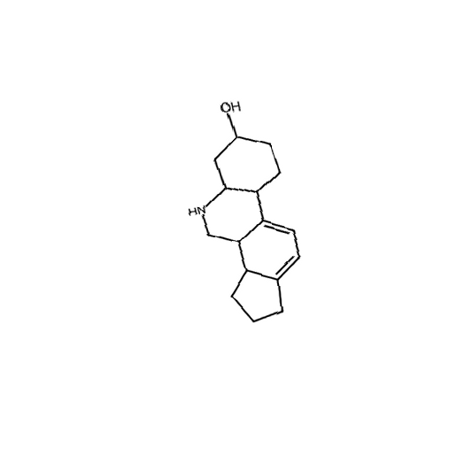 OC1CCC2C3=CC=C4CCCC4C3CNC2C1